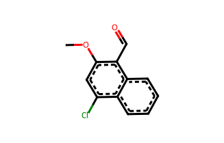 COc1cc(Cl)c2ccccc2c1C=O